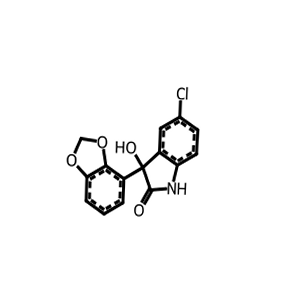 O=C1Nc2ccc(Cl)cc2C1(O)c1cccc2c1OCO2